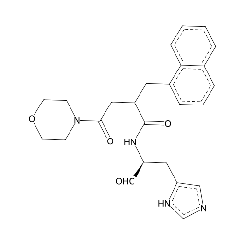 O=C[C@H](Cc1cnc[nH]1)NC(=O)C(CC(=O)N1CCOCC1)Cc1cccc2ccccc12